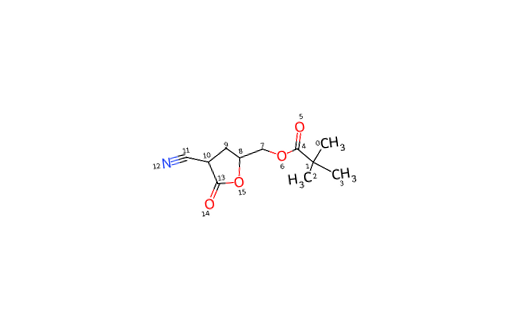 CC(C)(C)C(=O)OCC1CC(C#N)C(=O)O1